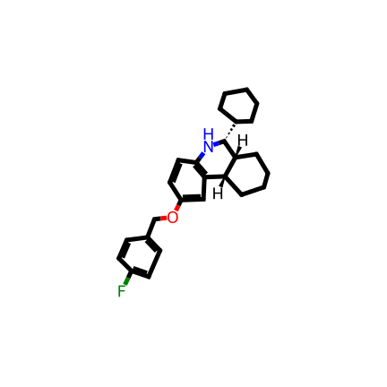 Fc1ccc(COc2ccc3c(c2)[C@H]2CCCC[C@H]2[C@@H](C2CCCCC2)N3)cc1